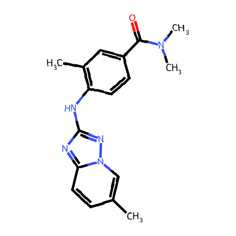 Cc1ccc2nc(Nc3ccc(C(=O)N(C)C)cc3C)nn2c1